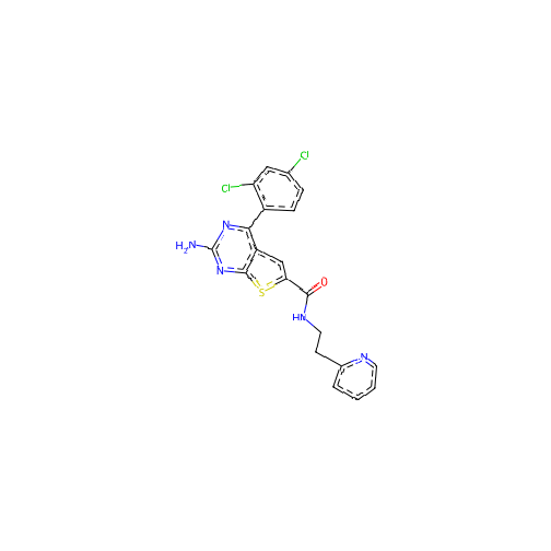 Nc1nc(-c2ccc(Cl)cc2Cl)c2cc(C(=O)NCCc3ccccn3)sc2n1